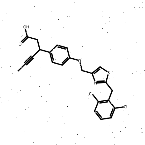 CC#CC(CC(=O)O)c1ccc(OCc2csc(Cc3c(Cl)cccc3Cl)n2)cc1